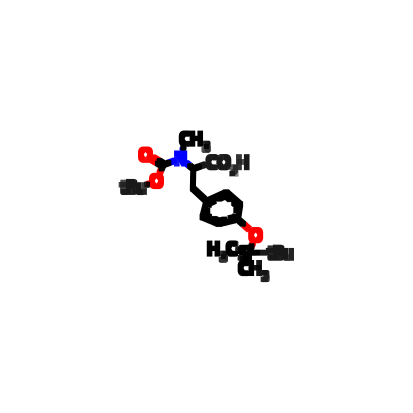 CN(C(=O)OC(C)(C)C)C(Cc1ccc(O[Si](C)(C)C(C)(C)C)cc1)C(=O)O